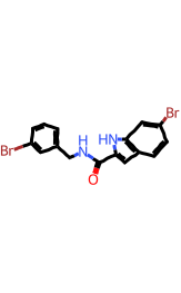 O=C(NCc1cccc(Br)c1)c1cc2ccc(Br)cc2[nH]1